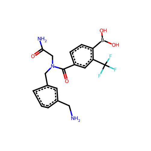 NCc1cccc(CN(CC(N)=O)C(=O)c2ccc(B(O)O)c(C(F)(F)F)c2)c1